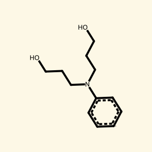 OCCCN(CCCO)c1cc[c]cc1